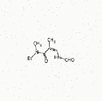 CCN(C)C(=O)/C(C)=C\NC=O